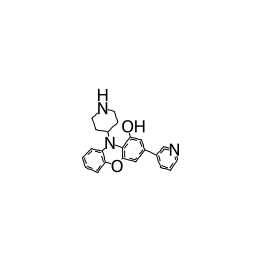 Oc1cc(-c2cccnc2)cc2c1N(C1CCNCC1)c1ccccc1O2